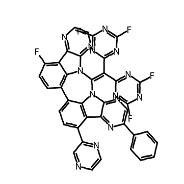 Fc1nc(F)nc(C(c2nc(F)nc(F)n2)=c2n3c4nccnc4c4c(F)ccc(c5ccc(-c6cnccn6)c6c7nc(-c8ccccc8)cnc7n2c56)c43)n1